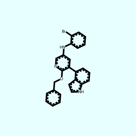 Brc1ccccc1Nc1cnc(OCc2ccccc2)c(-c2cccc3[nH]ccc23)c1